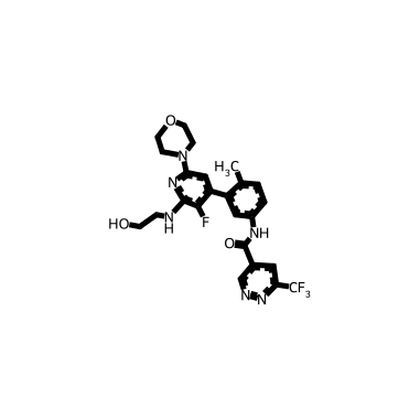 Cc1ccc(NC(=O)c2cnnc(C(F)(F)F)c2)cc1-c1cc(N2CCOCC2)nc(NCCO)c1F